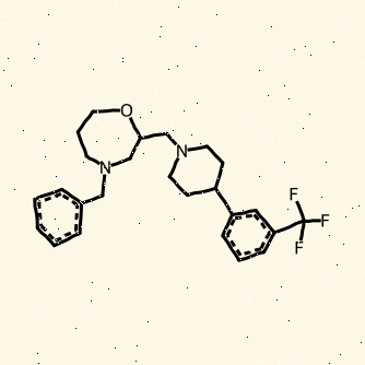 FC(F)(F)c1cccc(C2CCN(CC3CN(Cc4ccccc4)CCCO3)CC2)c1